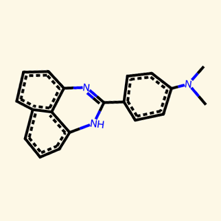 CN(C)c1ccc(C2=Nc3cccc4cccc(c34)N2)cc1